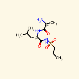 CCCS(=O)(=O)NC(=O)[C@H](CC(C)C)NC(=O)[C@H](C)N